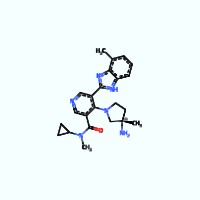 Cc1cccc2[nH]c(-c3cncc(C(=O)N(C)C4CC4)c3N3CC[C@](C)(N)C3)nc12